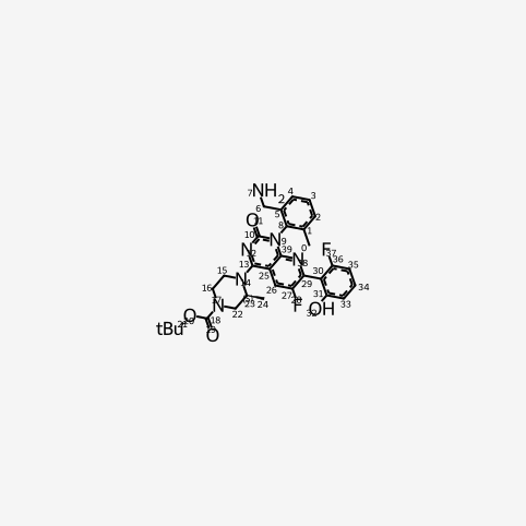 Cc1cccc(CN)c1-n1c(=O)nc(N2CCN(C(=O)OC(C)(C)C)C[C@@H]2C)c2cc(F)c(-c3c(O)cccc3F)nc21